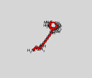 CO[C@H]1C[C@@H]2CC[C@@H](C)[C@@](O)(O2)C(=O)C(=O)N2CCCC[C@H]2C(=O)O[C@H]([C@H](N)C[C@@H]2CC[C@@H](OC(=O)NCCOCCOCCOCCOCCOCCOCCOCCOCCC(=O)NCCS(=O)(=O)c3ccc(C(=O)N4CCOc5ccc(-c6ccc(N)nc6)cc5C4)c(C)c3F)[C@H](OC)C2)C[C@@H](O)[C@H](C)/C=C(\C)[C@@H](O)[C@@H](O)C(=O)[C@H](C)C[C@H](C)/C=C/C=C/C=C/1C